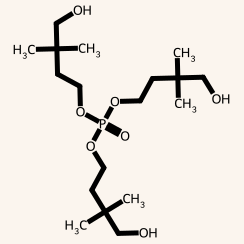 CC(C)(CO)CCOP(=O)(OCCC(C)(C)CO)OCCC(C)(C)CO